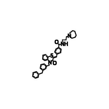 O=C(NCCCN1CCCCCC1)c1ccc(/C=C2\Sc3ccccc3N(Cc3cccc(Cc4ccccc4)c3)C2=O)cc1